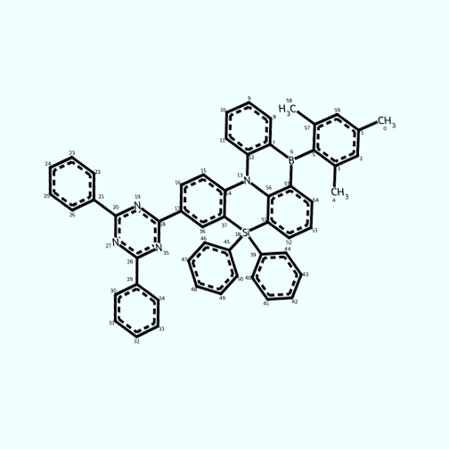 Cc1cc(C)c(B2c3ccccc3N3c4ccc(-c5nc(-c6ccccc6)nc(-c6ccccc6)n5)cc4[Si](c4ccccc4)(c4ccccc4)c4cccc2c43)c(C)c1